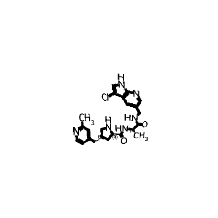 Cc1cc(C[C@@H]2CN[C@@H](C(=O)N[C@@H](C)C(=O)NCc3cnc4[nH]cc(Cl)c4c3)C2)ccn1